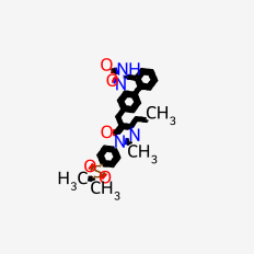 CCCc1nc(C)n(-c2ccc(S(=O)(=O)C(C)C)cc2)c(=O)c1Cc1ccc(-c2ccccc2-c2noc(=O)[nH]2)cc1